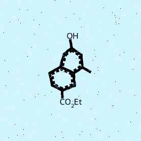 CCOC(=O)c1ccc2cc(O)cc(C)c2c1